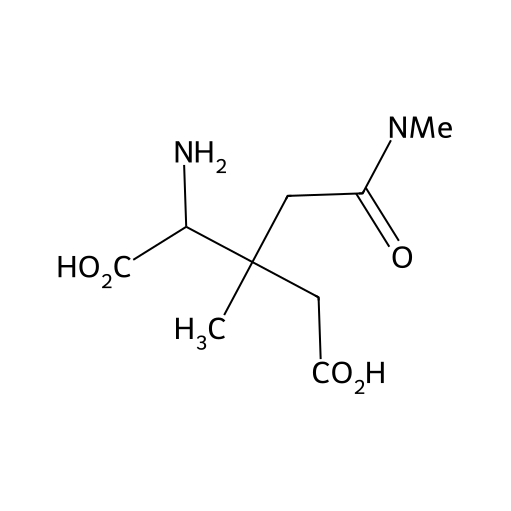 CNC(=O)CC(C)(CC(=O)O)C(N)C(=O)O